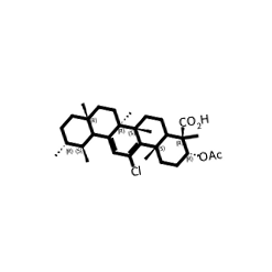 CC(=O)O[C@@H]1CC[C@]2(C)C3=C(Cl)C=C4C5[C@@H](C)[C@H](C)CC[C@]5(C)CC[C@@]4(C)[C@]3(C)CCC2[C@@]1(C)C(=O)O